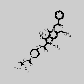 CCc1cc2c(c(OC)c(C(=O)NC3CCN(C(=O)OC(C)(C)C)CC3)n2C)c(=O)n1CC(=O)c1ccccc1